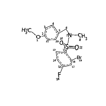 COc1ccc(CN(C)S(=O)(=O)c2ccc(F)cc2Br)cc1